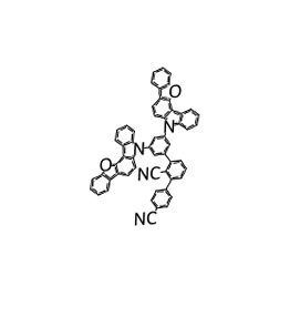 N#Cc1ccc(-c2cccc(-c3cc(-n4c5ccccc5c5c6oc7ccccc7c6ccc54)cc(-n4c5ccccc5c5c6oc7ccccc7c6ccc54)c3)c2C#N)cc1